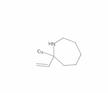 C=C[C]1([Cu])CCCCCN1